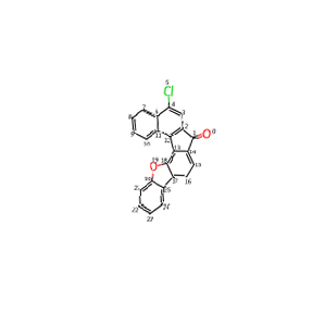 O=C1c2cc(Cl)c3ccccc3c2-c2c1ccc1c2oc2ccccc21